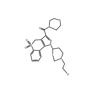 O=C(c1nn(C2CCN(CCCl)CC2)c2c1CS(=O)(=O)c1ccccc1-2)N1CCOCC1